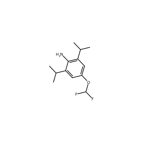 CC(C)c1cc(OC(F)F)cc(C(C)C)c1N